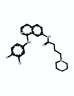 O=C(CCCN1CCCCC1)Nc1ccc2ccnc(Nc3ccc(F)c(Cl)c3)c2c1